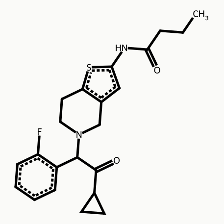 CCCC(=O)Nc1cc2c(s1)CCN(C(C(=O)C1CC1)c1ccccc1F)C2